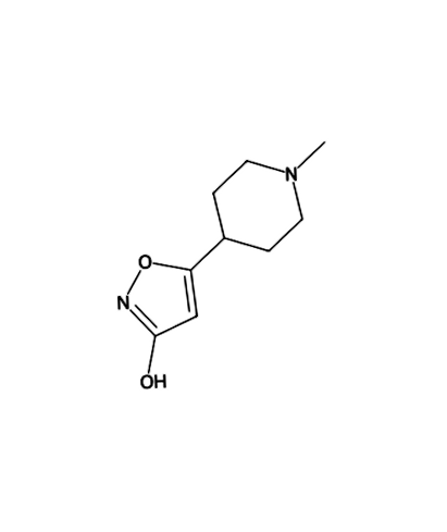 CN1CCC(c2cc(O)no2)CC1